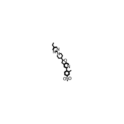 CCc1cnc(N2CCC(C3Cc4cc(-c5ccc(S(C)(=O)=O)cc5C)ncc4O3)CC2)nc1